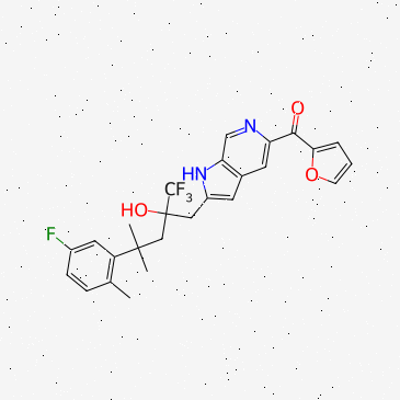 Cc1ccc(F)cc1C(C)(C)CC(O)(Cc1cc2cc(C(=O)c3ccco3)ncc2[nH]1)C(F)(F)F